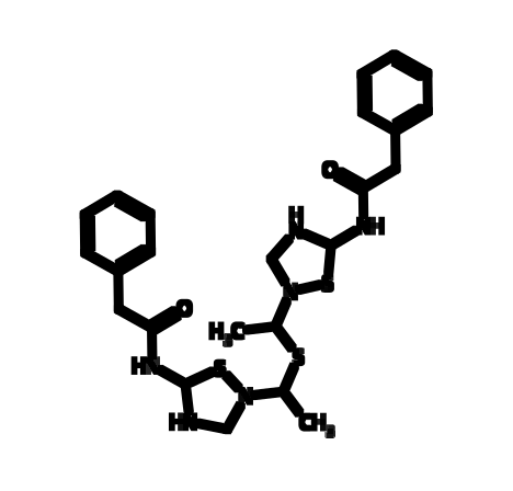 CC(SC(C)N1CNC(NC(=O)Cc2ccccc2)S1)N1CNC(NC(=O)Cc2ccccc2)S1